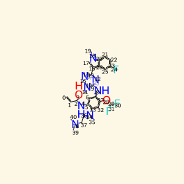 C=CC(O)Nc1cc(N/C(N=C)=N/C(=N\C)c2cn(C)c3ccc(F)cc23)c(OC(F)F)cc1N(C)CCN(C)C